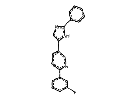 Fc1cccc(-c2ncc(-c3cnc(-c4ccccc4)[nH]3)cn2)c1